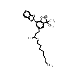 CCCCCCCCOC(O)CCc1cc(-n2nc3ccccc3n2)c(O)c(C(C)(C)C)c1